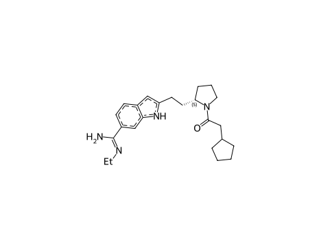 CCN=C(N)c1ccc2cc(CC[C@@H]3CCCN3C(=O)CC3CCCC3)[nH]c2c1